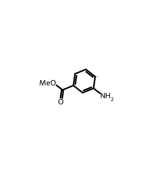 COC(=O)c1cc[c]c(N)c1